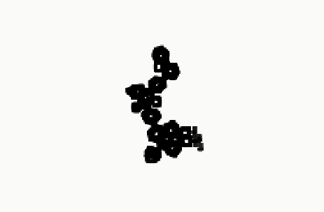 CC1(C)c2ccccc2-c2c(N(c3ccccc3)c3ccc(-c4ccc(-n5c(=O)c6ccccc6n(-c6ccc(-c7cccc8c7oc7ccccc78)cc6)c5=O)cc4)cc3)cccc21